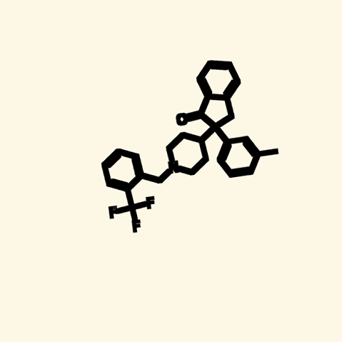 Cc1cccc(C2(C3CCN(Cc4ccccc4C(F)(F)F)CC3)Cc3ccccc3C2=O)c1